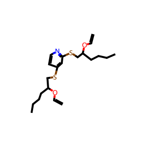 C=COC(CCCC)CSc1ccnc(SCC(CCCC)OC=C)c1